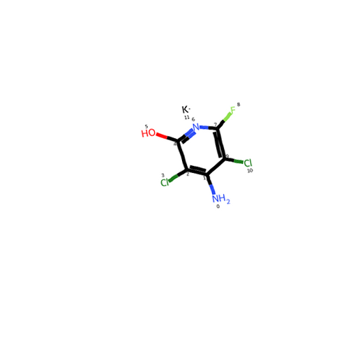 Nc1c(Cl)c(O)nc(F)c1Cl.[K]